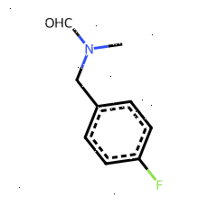 CN(C=O)Cc1ccc(F)cc1